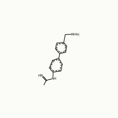 CC(=N)Nc1ccc(-c2ccc(CNC(C)=O)cc2)cc1